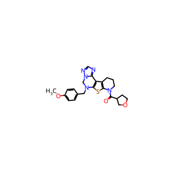 COc1ccc(CN2Cn3ncnc3-c3c2sc2c3CCCN2C(=O)C2CCOC2)cc1